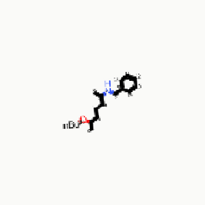 C=C(CCCC(C)NCc1ccccc1)OCCCC